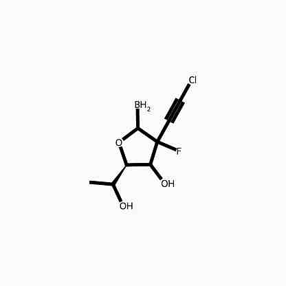 BC1O[C@H](C(C)O)C(O)C1(F)C#CCl